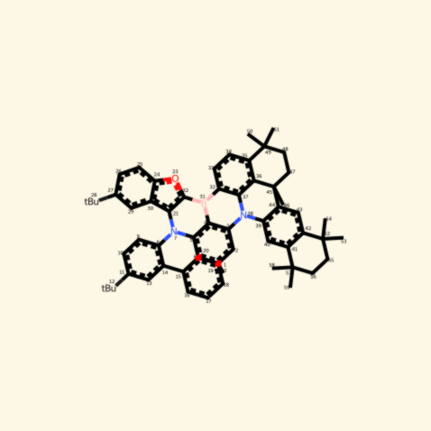 Cc1cc2c3c(c1)N(c1ccc(C(C)(C)C)cc1-c1ccccc1)c1c(oc4ccc(C(C)(C)C)cc14)B3c1ccc3c4c1N2c1cc2c(cc1C4(C)CCC3(C)C)C(C)(C)CCC2(C)C